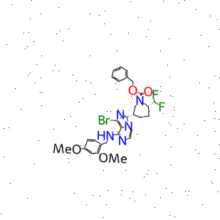 COc1ccc(CNc2nccn3c([C@H]4CC[C@@H](C(F)F)N(C(=O)OCc5ccccc5)C4)nc(Br)c23)c(OC)c1